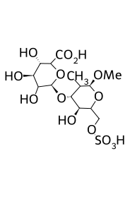 CO[C@H]1OC(COS(=O)(=O)O)[C@@H](O)[C@H](O[C@@H]2OC(C(=O)O)[C@@H](O)[C@H](O)C2O)C1C